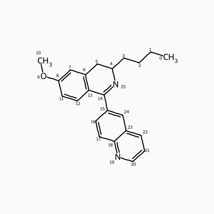 CCCCC1Cc2cc(OC)ccc2C(c2ccc3ncccc3c2)=N1